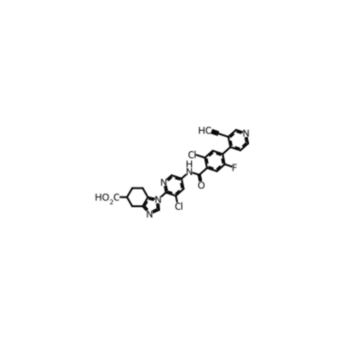 C#Cc1cnccc1-c1cc(Cl)c(C(=O)Nc2cnc(-n3cnc4c3CCC(C(=O)O)C4)c(Cl)c2)cc1F